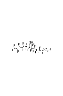 N.O=S(=O)(O)C(F)C(F)(F)C(F)(F)C(F)(F)C(F)(F)C(F)(F)C(F)(F)C(F)C(F)C(F)C(F)C(F)F